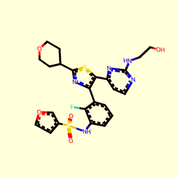 O=S(=O)(Nc1cccc(-c2nc(C3CCOCC3)sc2-c2ccnc(NCCO)n2)c1F)c1ccoc1